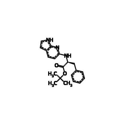 CC(C)(C)OC(=O)[C@H](Cc1ccccc1)Nc1ccc2cc[nH]c2n1